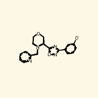 Clc1cccc(-c2noc(C3COCCN3Cc3ccccn3)n2)c1